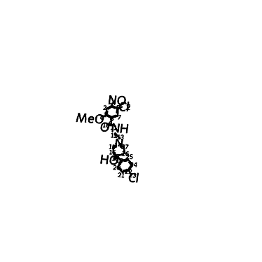 COc1cc([N+](=O)[O-])c(Cl)cc1C(=O)NCCN1CCC(O)(c2ccc(Cl)cc2)CC1